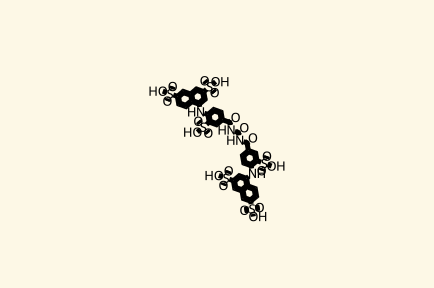 O=C(NC(=O)c1ccc(Nc2cc(S(=O)(=O)O)cc3cc(S(=O)(=O)O)ccc23)c(S(=O)(=O)O)c1)NC(=O)c1ccc(Nc2cc(S(=O)(=O)O)cc3cc(S(=O)(=O)O)ccc23)c(S(=O)(=O)O)c1